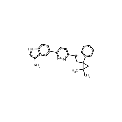 CC1(C)CC1(CNc1ccc(-c2ccc3[nH]nc(N)c3c2)nn1)c1ccccc1